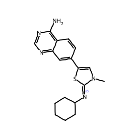 Cn1cc(-c2ccc3c(N)ncnc3c2)s/c1=N\C1CCCCC1